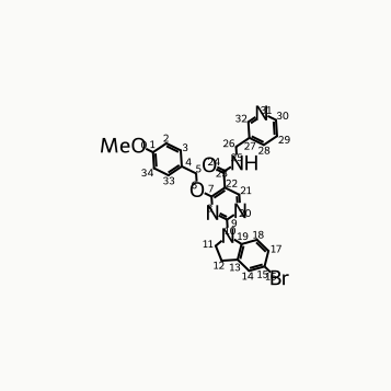 COc1ccc(COc2nc(N3CCc4cc(Br)ccc43)ncc2C(=O)NCc2cccnc2)cc1